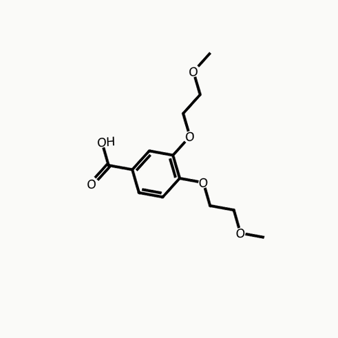 COCCOc1ccc(C(=O)O)cc1OCCOC